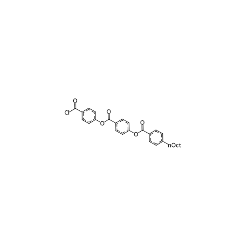 CCCCCCCCc1ccc(C(=O)Oc2ccc(C(=O)Oc3ccc(C(=O)Cl)cc3)cc2)cc1